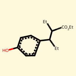 CCOC(=O)C(CC)C(CC)c1ccc(O)cc1